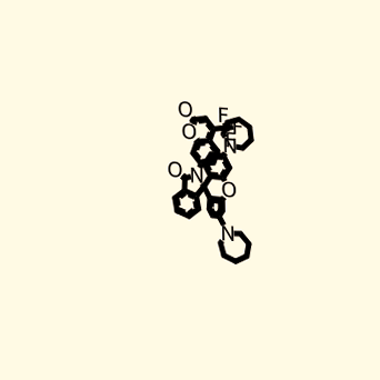 O=C1c2ccccc2C2(c3ccc(N4CCCCCC4)cc3Oc3cc(N4CCCCCC4)ccc32)N1c1ccc2c(C(F)(F)F)cc(=O)oc2c1